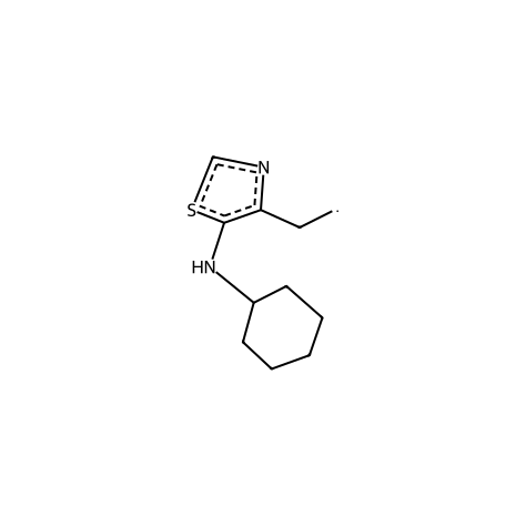 [CH2]Cc1ncsc1NC1CCCCC1